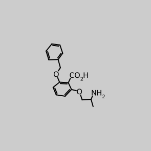 CC(N)COc1cccc(OCc2ccccc2)c1C(=O)O